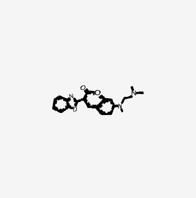 CN(C)CCN(C)c1ccc2cc(-c3nc4ccccc4o3)c(=O)oc2c1